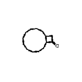 O=C1CC2CCCCCCCCCCC12